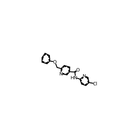 O=C(Nc1ccc(Cl)cn1)c1ccc(COc2ccccc2)nc1